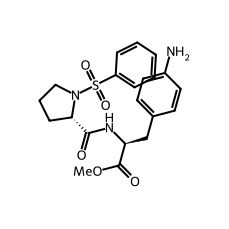 COC(=O)[C@H](Cc1ccc(N)cc1)NC(=O)[C@@H]1CCCN1S(=O)(=O)c1ccccc1